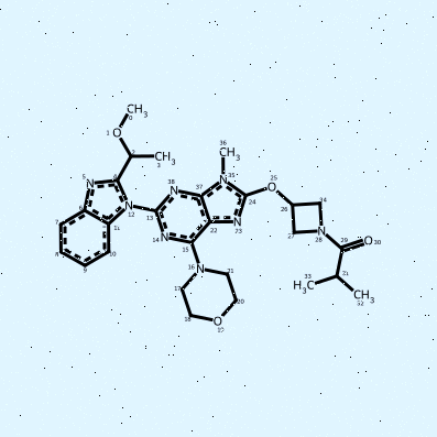 COC(C)c1nc2ccccc2n1-c1nc(N2CCOCC2)c2nc(OC3CN(C(=O)C(C)C)C3)n(C)c2n1